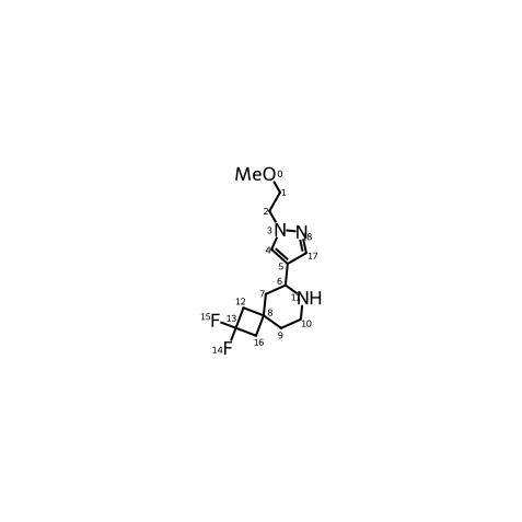 COCCn1cc(C2CC3(CCN2)CC(F)(F)C3)cn1